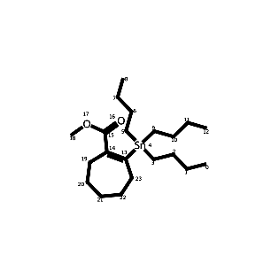 CCC[CH2][Sn]([CH2]CCC)([CH2]CCC)[C]1=C(C(=O)OC)CCCCC1